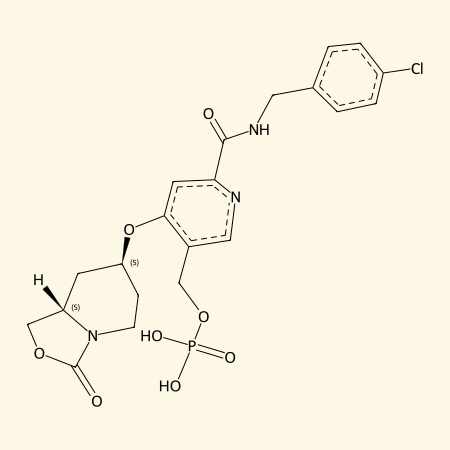 O=C(NCc1ccc(Cl)cc1)c1cc(O[C@H]2CCN3C(=O)OC[C@@H]3C2)c(COP(=O)(O)O)cn1